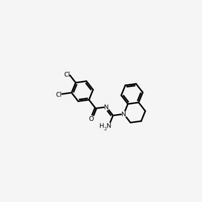 NC(=NC(=O)c1ccc(Cl)c(Cl)c1)N1CCCc2ccccc21